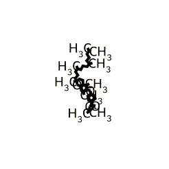 Cc1cc2c(c(C)c1Oc1ccc(C(=O)OC(C)C)cc1)CCC(C)(CCCC(C)CCCC(C)CCCC(C)C)O2